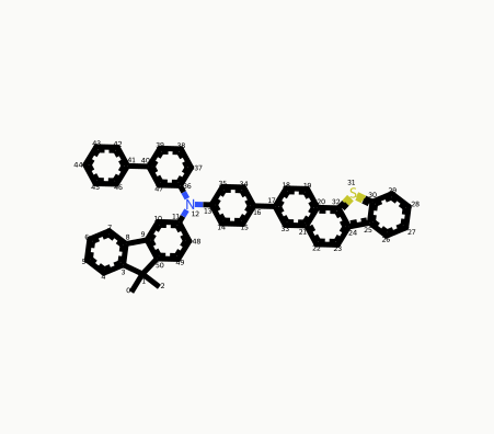 CC1(C)c2ccccc2-c2cc(N(c3ccc(-c4ccc5c(ccc6c7ccccc7sc56)c4)cc3)c3cccc(-c4ccccc4)c3)ccc21